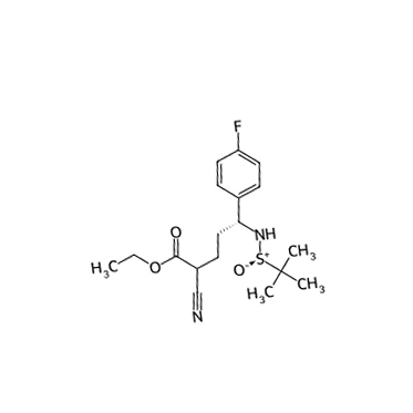 CCOC(=O)C(C#N)CC[C@@H](N[S@+]([O-])C(C)(C)C)c1ccc(F)cc1